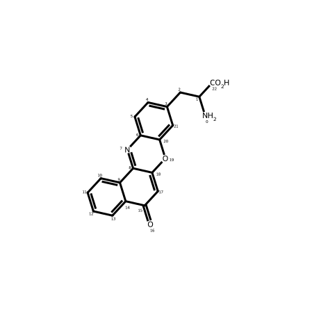 NC(Cc1ccc2nc3c4ccccc4c(=O)cc-3oc2c1)C(=O)O